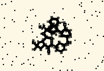 CC(C)(C)OC(=O)N1CC(F)(F)CC1C(=O)N[C@H]1CCC[C@@H](Nc2ncc(Cl)c(-c3c[nH]c4ccccc34)n2)C1